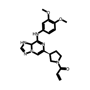 C=CC(=O)N1CC[C@H](C2=CN3N=CNC3C(Nc3ccc(OC)c(OC)c3)=N2)C1